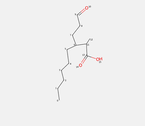 CCCCCCC(CC[C]=O)C(C)C(=O)O